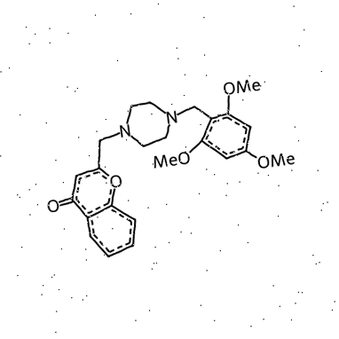 COc1cc(OC)c(CN2CCN(Cc3cc(=O)c4ccccc4o3)CC2)c(OC)c1